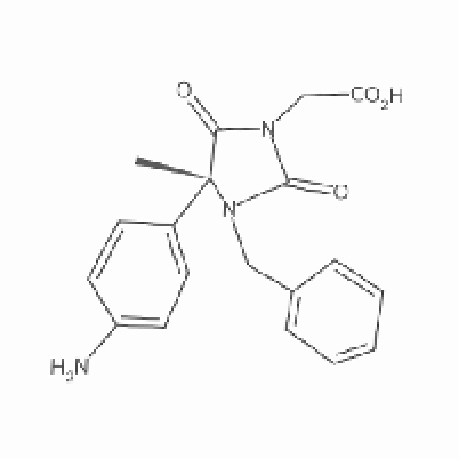 C[C@@]1(c2ccc(N)cc2)C(=O)N(CC(=O)O)C(=O)N1Cc1ccccc1